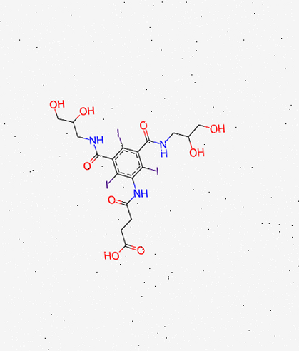 O=C(O)CCC(=O)Nc1c(I)c(C(=O)NCC(O)CO)c(I)c(C(=O)NCC(O)CO)c1I